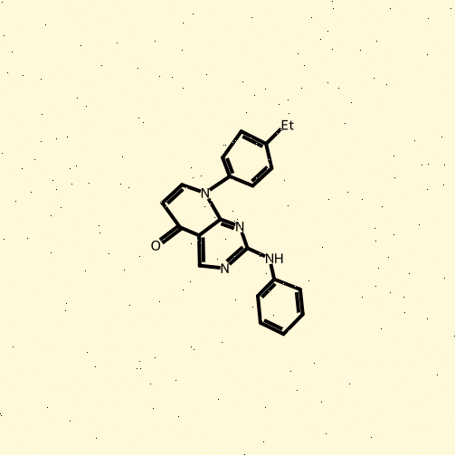 CCc1ccc(-n2ccc(=O)c3cnc(Nc4ccccc4)nc32)cc1